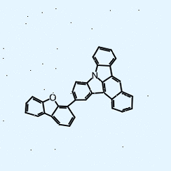 c1ccc2c(c1)cc1c3ccccc3n3c4ccc(-c5cccc6c5oc5ccccc56)cc4c2c13